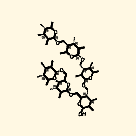 CC1O[C@@H](OC[C@@H]2C(C)O[C@@H](OC[C@H]3C(C)[C@H](OC[C@H]4C(CO[C@@H]5OC(CO[C@@H]6OC(C)[C@H](C)[C@@H](C)C6C)[C@H](C)[C@@H](C)C5C)OC(O)C(C)[C@@H]4C)OC(C)[C@@H]3C)C(C)[C@H]2C)C(C)[C@@H](C)[C@@H]1C